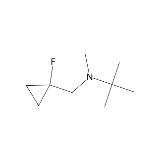 CN(CC1(F)CC1)C(C)(C)C